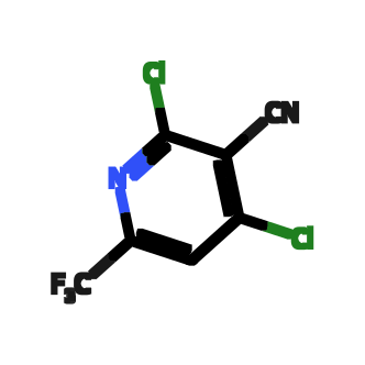 N#Cc1c(Cl)cc(C(F)(F)F)nc1Cl